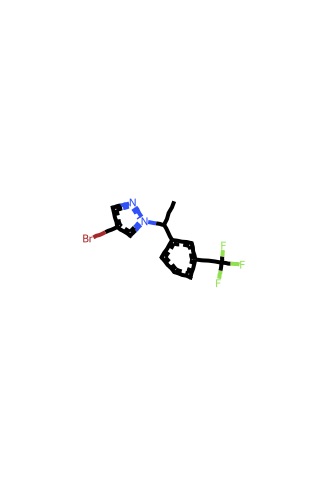 CC(c1cccc(C(F)(F)F)c1)n1cc(Br)cn1